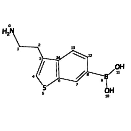 NCCc1csc2cc(B(O)O)ccc12